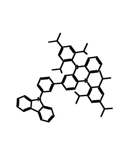 CC(C)c1cc(C(C)C)c(B2c3ccccc3B(c3c(C(C)C)cc(C(C)C)cc3C(C)C)c3cc(-c4cccc(-n5c6ccccc6c6ccccc65)c4)ccc32)c(C(C)C)c1